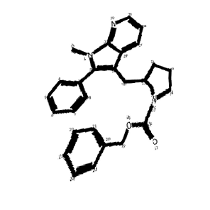 Cn1c(-c2ccccc2)c(CC2CCCN2C(=O)OCc2ccccc2)c2cccnc21